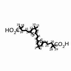 CC1(C)C=C(C=CC2=CC(C)(C)C=C(CCCC(C)(C)C(=O)O)S2)SC(CCCC(C)(C)C(=O)O)=C1